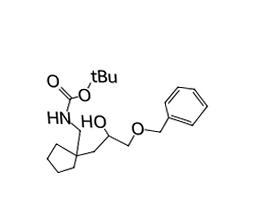 CC(C)(C)OC(=O)NCC1(CC(O)COCc2ccccc2)CCCC1